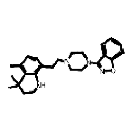 Cc1ccc(CCN2CCN(c3noc4ccccc34)CC2)c2c1C(C)(C)CCN2